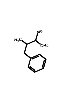 CCCC(OC(C)=O)C(C)Cc1ccccc1